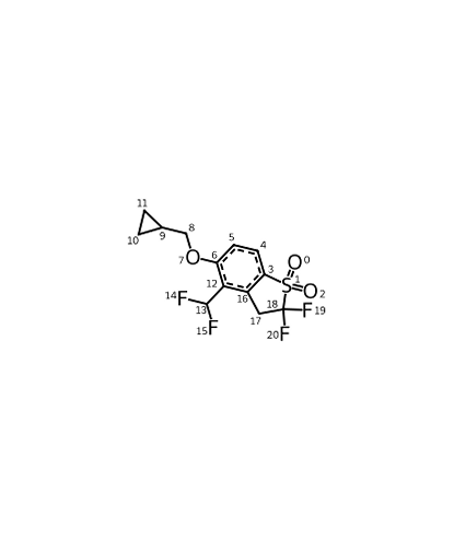 O=S1(=O)c2ccc(OCC3CC3)c(C(F)F)c2CC1(F)F